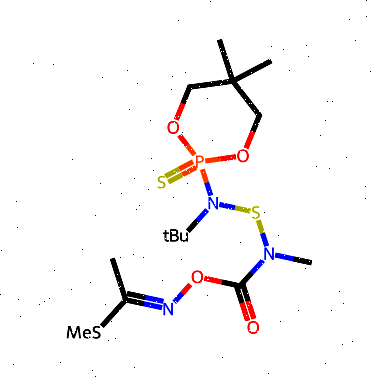 CSC(C)=NOC(=O)N(C)SN(C(C)(C)C)P1(=S)OCC(C)(C)CO1